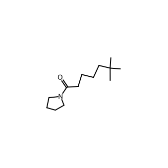 CC(C)(C)CCCCC(=O)N1CCCC1